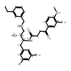 CCc1cccc(CNC[C@@H](O)[C@H](Cc2cc(F)cc(F)c2)NC(=O)CCC(=O)c2ccc(OC)c(F)c2)c1